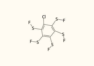 FSc1c(Cl)c(SF)c(SF)c(SF)c1SF